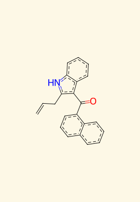 C=CCc1[nH]c2ccccc2c1C(=O)c1cccc2ccccc12